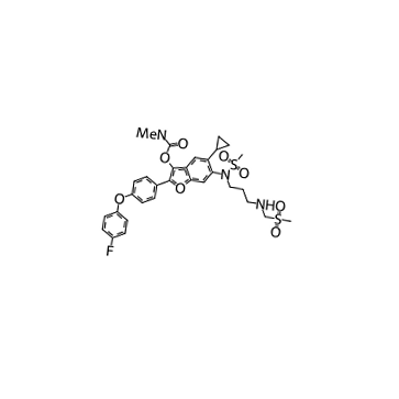 CNC(=O)Oc1c(-c2ccc(Oc3ccc(F)cc3)cc2)oc2cc(N(CCCNCS(C)(=O)=O)S(C)(=O)=O)c(C3CC3)cc12